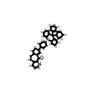 O=C1c2cc(-c3ccc(N4c5ccccc5C(c5ccccc5)(c5ccccc5)c5ccccc54)cc3)ccc2CCc2cccnc21